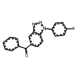 O=C(c1ccccc1)c1ccc2c(c1)nnn2-c1ccc(F)cc1